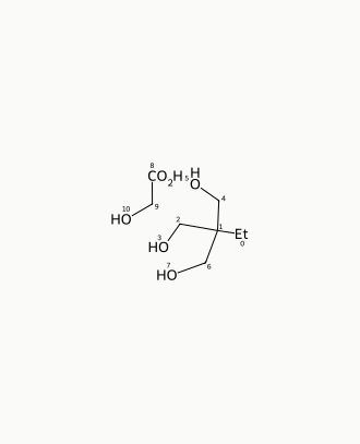 CCC(CO)(CO)CO.O=C(O)CO